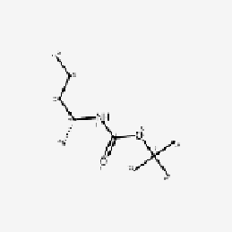 [CH2]CC[C@@H]([CH2])NC(=O)OC(C)(C)C